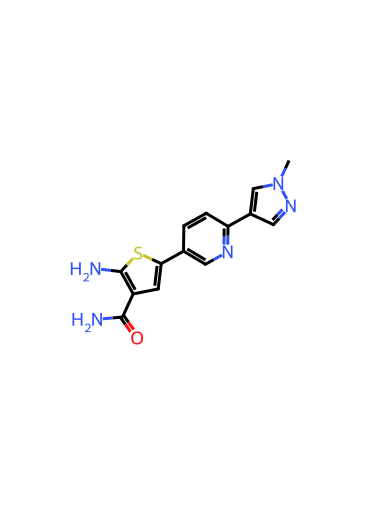 Cn1cc(-c2ccc(-c3cc(C(N)=O)c(N)s3)cn2)cn1